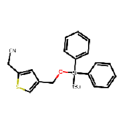 CC(C)(C)[Si](OCc1csc(CC#N)c1)(c1ccccc1)c1ccccc1